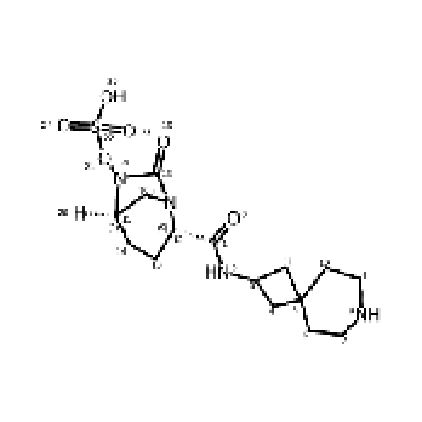 O=C(NC1CC2(CCNCC2)C1)[C@@H]1CC[C@@H]2CN1C(=O)N2OS(=O)(=O)O